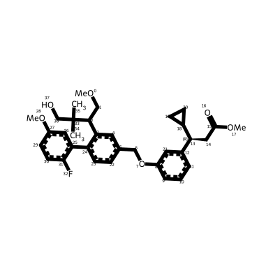 COCC(c1cc(COc2cccc([C@H](CC(=O)OC)C3CC3)c2)ccc1-c1cc(OC)ccc1F)C(C)(C)CO